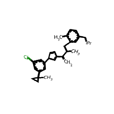 C=C(C1=CC(c2cc(Cl)cc(C3(C)CC3)c2)C=C1)C(C)Cc1cc(CC(C)C)ccc1C